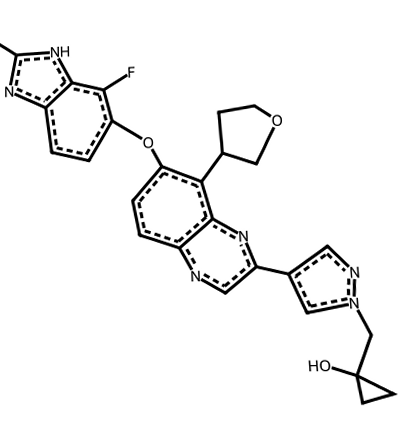 Cc1nc2ccc(Oc3ccc4ncc(-c5cnn(CC6(O)CC6)c5)nc4c3C3CCOC3)c(F)c2[nH]1